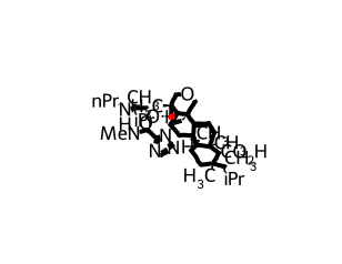 CCCN[C@@](C)(CO[C@H]1[C@H](n2ncnc2C(=O)NC)C[C@@]23COC[C@]1(C)[C@@H]2CC[C@H]1C3=CC[C@@]2(C)[C@H](C(=O)O)[C@@](C)([C@H](C)C(C)C)CC[C@]12C)C(C)C